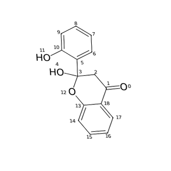 O=C1CC(O)(c2ccccc2O)Oc2ccccc21